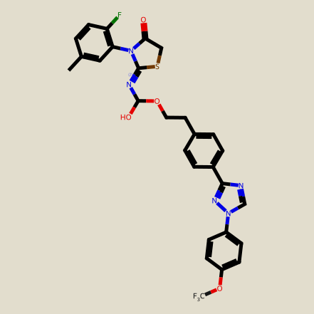 Cc1ccc(F)c(N2C(=O)CS/C2=N\C(O)OCCc2ccc(-c3ncn(-c4ccc(OC(F)(F)F)cc4)n3)cc2)c1